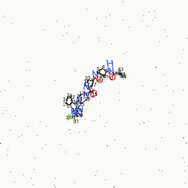 O=C(Nc1ccc2nc(-c3ccnc(C(=O)N4CCN(C(c5ccccc5)c5nnn(C(F)F)n5)CC4)c3)oc2c1)[C@@H]1C[C@@H]1F